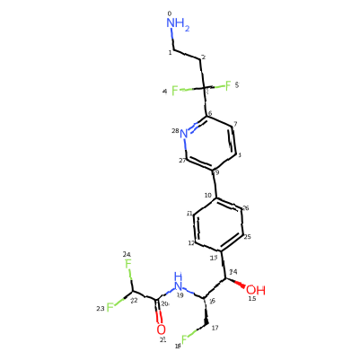 NCCC(F)(F)c1ccc(-c2ccc([C@@H](O)[C@@H](CF)NC(=O)C(F)F)cc2)cn1